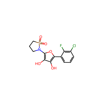 O=S1(=O)CCCN1c1oc(-c2cccc(Cl)c2F)c(O)c1O